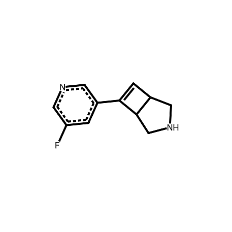 Fc1cncc(C2=CC3CNCC23)c1